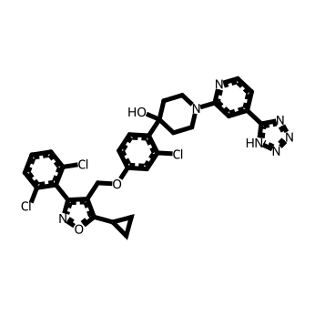 OC1(c2ccc(OCc3c(-c4c(Cl)cccc4Cl)noc3C3CC3)cc2Cl)CCN(c2cc(-c3nnn[nH]3)ccn2)CC1